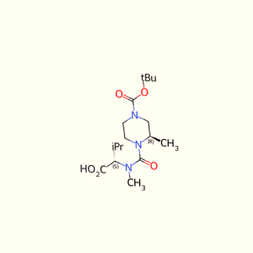 CC(C)[C@@H](C(=O)O)N(C)C(=O)N1CCN(C(=O)OC(C)(C)C)C[C@H]1C